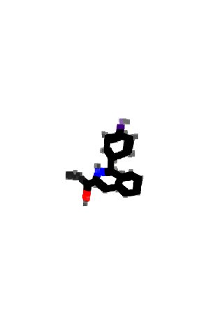 CNC(=O)c1cc2ccccc2c(-c2ccc(I)cc2)n1